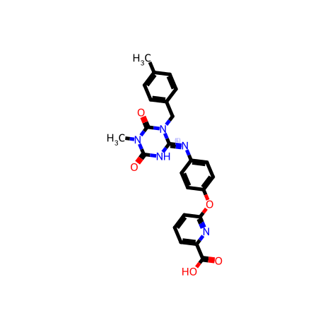 Cc1ccc(Cn2c(=O)n(C)c(=O)[nH]/c2=N\c2ccc(Oc3cccc(C(=O)O)n3)cc2)cc1